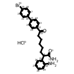 Cl.NC(=O)C(CCCCCC(=O)c1ccc(-c2ccc(Br)cc2)cc1)c1ccccc1N